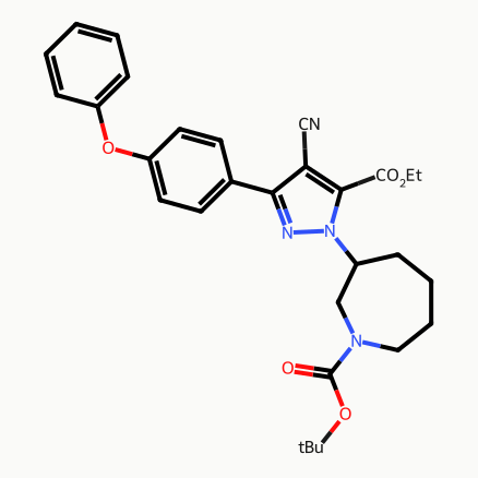 CCOC(=O)c1c(C#N)c(-c2ccc(Oc3ccccc3)cc2)nn1C1CCCCN(C(=O)OC(C)(C)C)C1